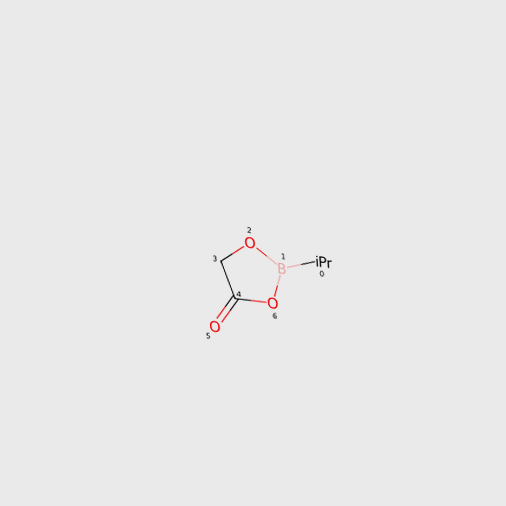 CC(C)B1OCC(=O)O1